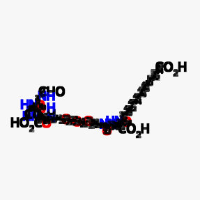 O=CNCC(=O)N[C@@H](CC(=O)O)C(=O)N[C@@H](CC(=O)NCCCOCCOCCOCCCNC(=O)CC[C@H](NC(=O)CCCCCCCCCCCCCCCCC(=O)O)C(=O)O)C(=O)O